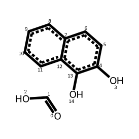 O=CO.Oc1ccc2ccccc2c1O